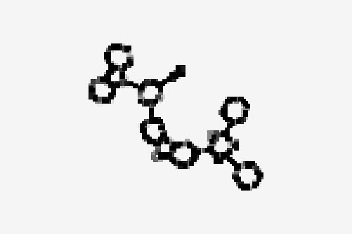 N#Cc1cc(-c2ccc3oc4ccc(-c5nc(-c6ccccc6)nc(-c6ccccc6)n5)cc4c3c2)cc(-n2c3ccccc3c3ccccc32)c1